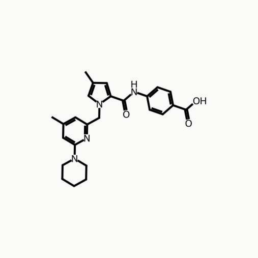 Cc1cc(Cn2cc(C)cc2C(=O)Nc2ccc(C(=O)O)cc2)nc(N2CCCCC2)c1